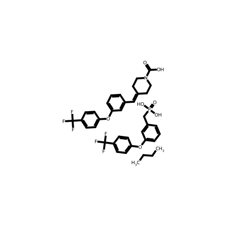 CCCC.O=C(O)N1CCC(=Cc2cccc(Oc3ccc(C(F)(F)F)cc3)c2)CC1.O=P(O)(O)Cc1cccc(Oc2ccc(C(F)(F)F)cc2)c1